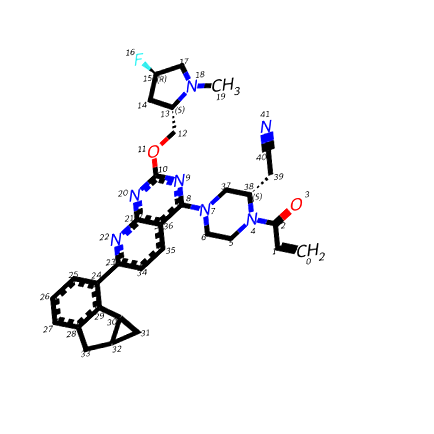 C=CC(=O)N1CCN(c2nc(OC[C@@H]3C[C@@H](F)CN3C)nc3nc(-c4cccc5c4C4CC4C5)ccc23)C[C@@H]1CC#N